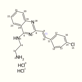 Cl.Cl.NCCNc1nc(/C=C/c2ccc(Cl)cc2)nc2ccccc12